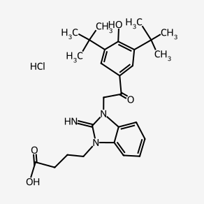 CC(C)(C)c1cc(C(=O)Cn2c(=N)n(CCCC(=O)O)c3ccccc32)cc(C(C)(C)C)c1O.Cl